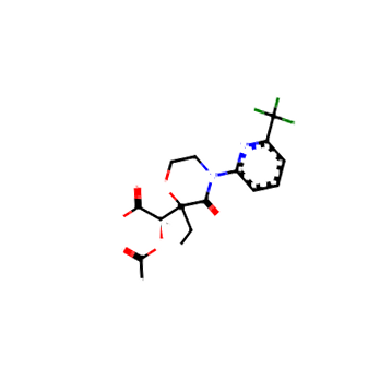 CCC1([C@@H](OC(C)=O)C(=O)O)OCCN(c2cccc(C(F)(F)F)n2)C1=O